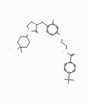 CC1(O)CCC(N2CCC(Cc3ccc(OCCNC(=O)c4ccc(C(F)(F)F)cc4)cc3Cl)C2=O)CC1